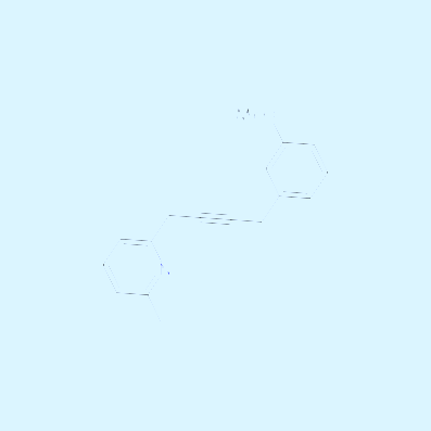 COc1cccc(CC#CCc2cccc(C)n2)c1